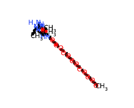 CCCCc1nc2c(N)nnc(OC(C)C)c2n1Cc1ccc(CNCCOCCOCCOCCOCCOCCOCCOCCOCCOCCOCCOCCOC)cc1